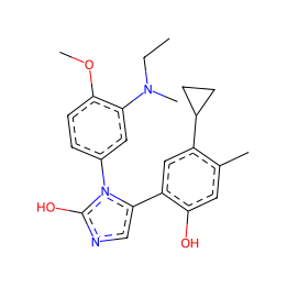 CCN(C)c1cc(-n2c(-c3cc(C4CC4)c(C)cc3O)cnc2O)ccc1OC